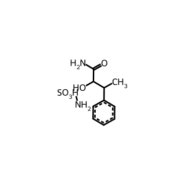 CC(c1ccccc1)C(O)C(N)=O.NS(=O)(=O)O